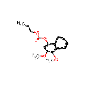 CCCOC(=O)Oc1cc(OC)c(OC)c2ccccc12